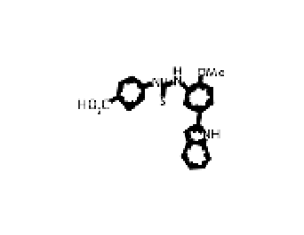 COc1ccc(-c2cc3ccccc3[nH]2)cc1NC(=S)Nc1ccc(C(=O)O)cc1